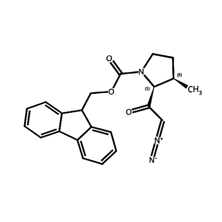 C[C@@H]1CCN(C(=O)OCC2c3ccccc3-c3ccccc32)[C@@H]1C(=O)C=[N+]=[N-]